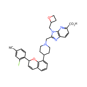 N#Cc1ccc(C2C=Cc3cccc(C4CCN(Cc5nc6ccc(C(=O)O)nc6n5CC5CCO5)CC4)c3O2)c(F)c1